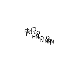 Cc1ncc2oc(-c3ccc(NC(=O)Cc4ccccc4OC(F)(F)F)cn3)nn12